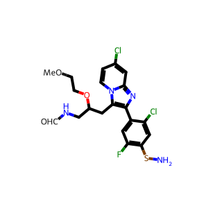 COCCOC(CNC=O)Cc1c(-c2cc(F)c(SN)cc2Cl)nc2cc(Cl)ccn12